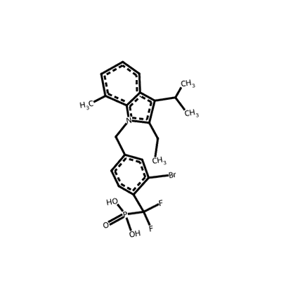 CCc1c(C(C)C)c2cccc(C)c2n1Cc1ccc(C(F)(F)P(=O)(O)O)c(Br)c1